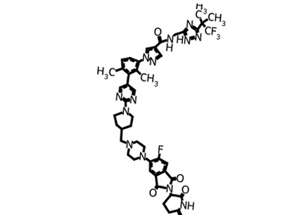 Cc1ccc(-n2cc(C(=O)NCc3nc(C(C)(C)C(F)(F)F)n[nH]3)cn2)c(C)c1-c1cnc(N2CCC(CN3CCN(c4cc5c(cc4F)C(=O)N(C4CCC(=O)NC4=O)C5=O)CC3)CC2)nc1